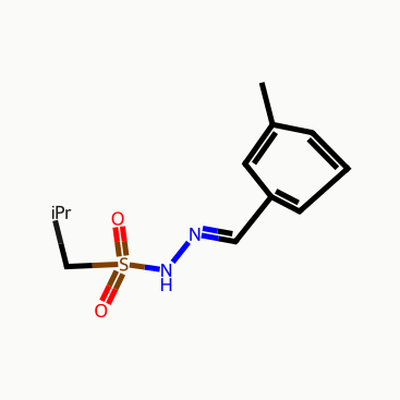 Cc1cccc(C=NNS(=O)(=O)CC(C)C)c1